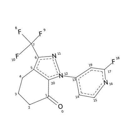 O=C1CCCc2c(C(F)(F)F)nn(-c3ccnc(F)c3)c21